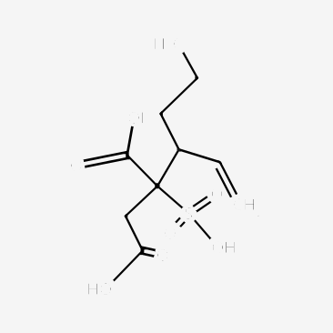 C=CC(CCC)C(CC(=O)O)(C(=O)O)S(=O)(=O)O